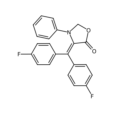 O=C1OCN(c2ccccc2)C1=C(c1ccc(F)cc1)c1ccc(F)cc1